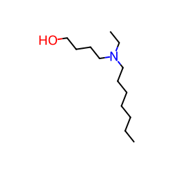 CCCCCCCN(CC)CCCCO